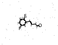 O=[C]C/C=C/c1cc(F)ccc1F